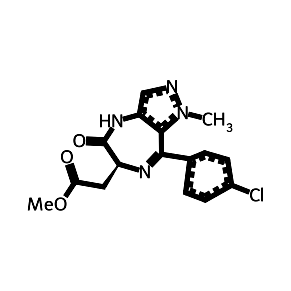 COC(=O)C[C@@H]1N=C(c2ccc(Cl)cc2)c2c(cnn2C)NC1=O